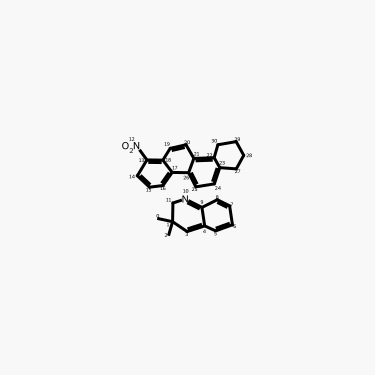 CC1(C)C=c2ccccc2=NC1.O=[N+]([O-])c1cccc2c1ccc1c3c(ccc12)CCCC3